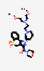 COCCN(CCOC)CCN1CCC[C@H](n2nc(C(=O)N3CCOCC3)c3c2-c2ccccc2S(=O)(=O)C3)C1